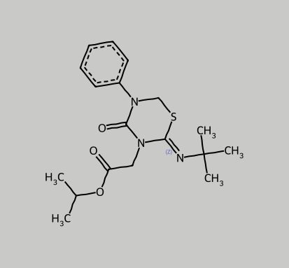 CC(C)OC(=O)CN1C(=O)N(c2ccccc2)CS/C1=N\C(C)(C)C